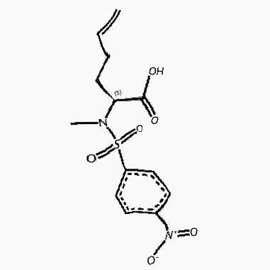 C=CCC[C@@H](C(=O)O)N(C)S(=O)(=O)c1ccc([N+](=O)[O-])cc1